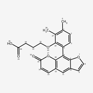 Cc1ccc(-c2c3occc3cc3ccc(=O)oc23)c(OCCCC(=O)O)c1C